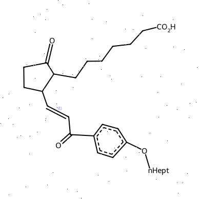 CCCCCCCOc1ccc(C(=O)/C=C/C2CCC(=O)C2CCCCCCC(=O)O)cc1